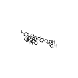 CC(C)[C@@H](C(=O)Nc1ccc(I)cc1Cl)N1C(=O)N[C@H](c2ccc(OC[C@@H](O)CO)cc2)C1=O